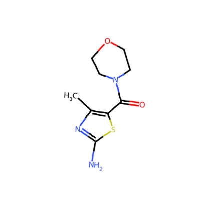 Cc1nc(N)sc1C(=O)N1CCOCC1